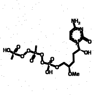 CO[C@H](CC[C@@H](O)n1ccc(N)nc1=O)COP(=O)(O)OOP(C)(=O)OOP(C)(=O)O